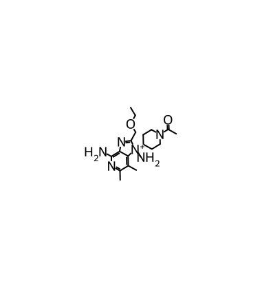 CCOCC1=Nc2c(N)nc(C)c(C)c2[N+]1(N)C1CCN(C(C)=O)CC1